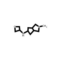 CN1CC2CC(NC3COC3)CC2C1